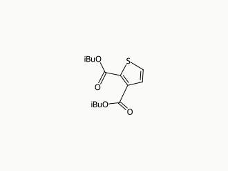 CC(C)COC(=O)c1ccsc1C(=O)OCC(C)C